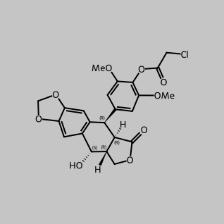 COc1cc([C@@H]2c3cc4c(cc3[C@@H](O)[C@H]3COC(=O)[C@H]23)OCO4)cc(OC)c1OC(=O)CCl